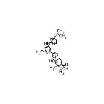 Cc1cc(Nc2nccc(OC(C)C)n2)cc(-c2cnc([C@]3(O)CC[C@@H](C(=O)O)C(C)(C)C3)s2)n1